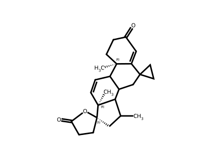 CC1C[C@@]2(CCC(=O)O2)[C@@]2(C)C=CC3C(CC4(CC4)C4=CC(=O)CC[C@@]43C)C12